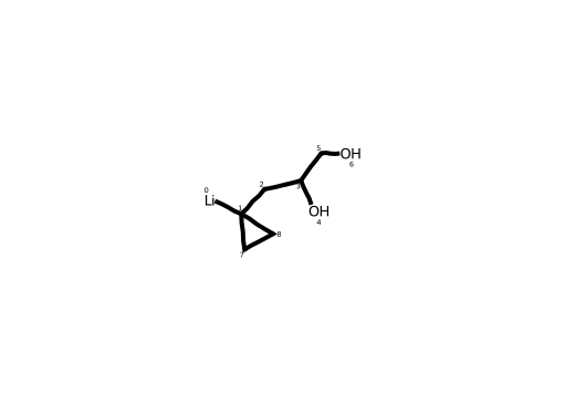 [Li][C]1(CC(O)CO)CC1